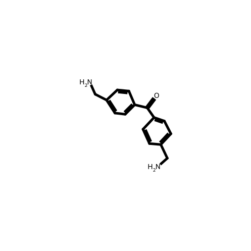 NCc1ccc(C(=O)c2ccc(CN)cc2)cc1